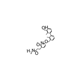 COc1nc(OCc2cccc(-c3cccc(CO)c3C)c2C)ccc1CCC(N)=O